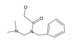 CN(C)CN(Cc1ccccc1)C(=O)C[O]